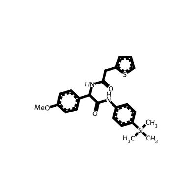 COc1ccc(C(NC(=O)Cc2cccs2)C(=O)Nc2ccc([Si](C)(C)C)cc2)cc1